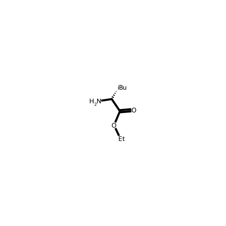 CCOC(=O)C(N)[C@@H](C)CC